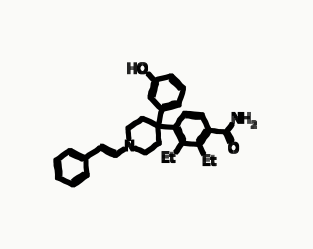 CCc1c(C(N)=O)ccc(C2(c3cccc(O)c3)CCN(C=Cc3ccccc3)CC2)c1CC